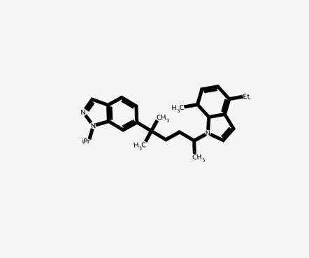 CCC1=C2C=CN(C(C)CCC(C)(C)c3ccc4cnn(C(C)C)c4c3)C2C(C)C=C1